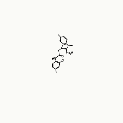 Cc1ccc(NC(=O)Cc2c(C(=O)O)n(C)c3ccc(C)cc23)c(Cl)c1